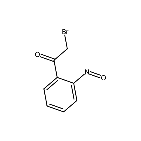 O=Nc1ccccc1C(=O)CBr